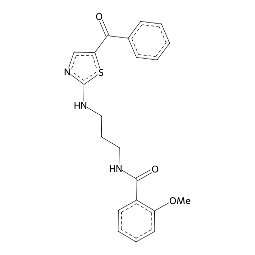 COc1ccccc1C(=O)NCCCNc1ncc(C(=O)c2ccccc2)s1